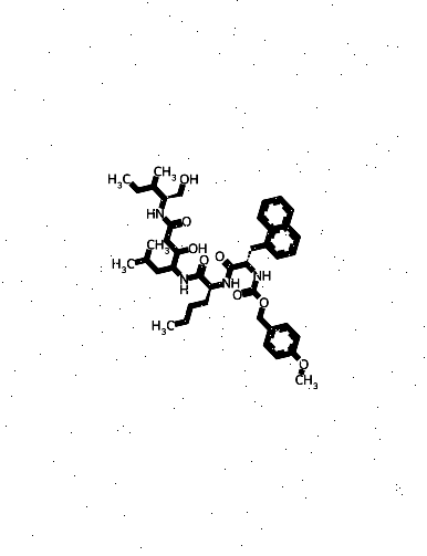 CCCC[C@H](NC(=O)[C@H](Cc1cccc2ccccc12)NC(=O)OCc1ccc(OC)cc1)C(=O)NC(CC(C)C)C(O)CC(=O)N[C@H](CO)C(C)CC